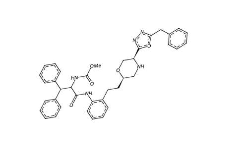 COC(=O)NC(C(=O)Nc1ccccc1CC[C@@H]1CN[C@H](c2nnc(Cc3ccccc3)o2)CO1)C(c1ccccc1)c1ccccc1